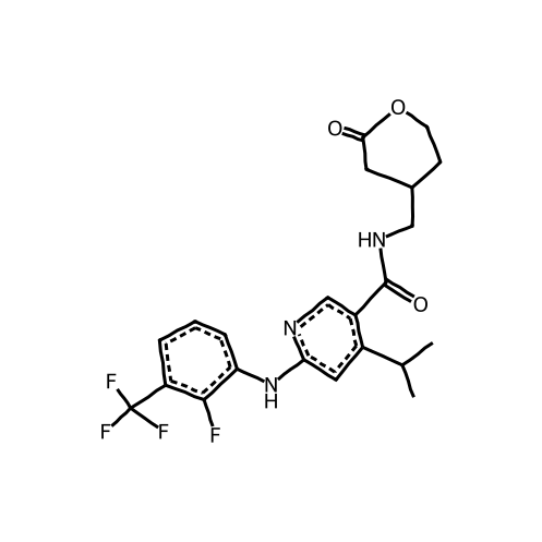 CC(C)c1cc(Nc2cccc(C(F)(F)F)c2F)ncc1C(=O)NCC1CCOC(=O)C1